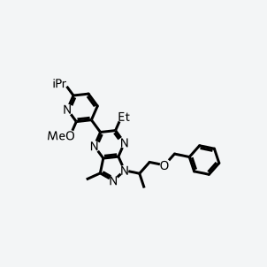 CCc1nc2c(nc1-c1ccc(C(C)C)nc1OC)c(C)nn2C(C)COCc1ccccc1